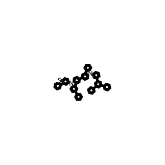 c1ccc(-c2cc(-c3ccccc3)cc(-c3cccc(-n4c5ccccc5c5cc(-c6ccc7c(c6)c6cc(-c8ccccc8)ccc6n7-c6ccc7sc8ccccc8c7c6)ccc54)c3)c2)cc1